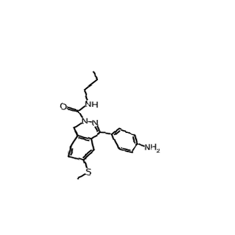 CCCNC(=O)N1Cc2ccc(SC)cc2C(c2ccc(N)cc2)=N1